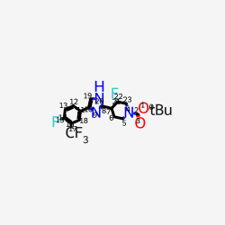 CC(C)(C)OC(=O)N1CCC(c2nc(-c3ccc(F)c(C(F)(F)F)c3)c[nH]2)C(F)C1